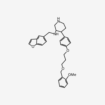 COc1ccccc1COCCCOc1ccc(C2CCNCC2NCc2ccc3occc3c2)cc1